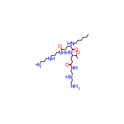 CCCCCCNC(CCC(=O)NCCCNCCCN(C)C)C(=O)NC(CCC(=O)NCCNCCN)C(C)=O